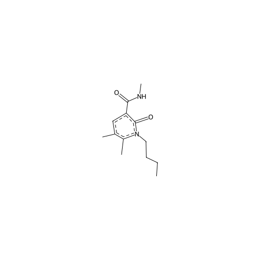 CCCCn1c(C)c(C)cc(C(=O)NC)c1=O